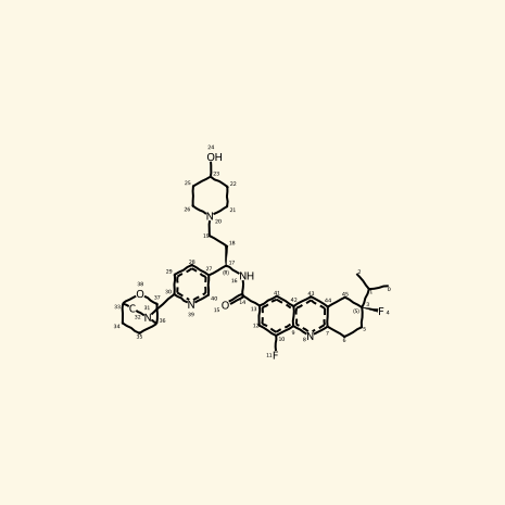 CC(C)[C@]1(F)CCc2nc3c(F)cc(C(=O)N[C@H](CCN4CCC(O)CC4)c4ccc(N5CC6CCC5CO6)nc4)cc3cc2C1